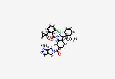 Cn1ncc2c1CN(C(=O)C1CCc3c([C@@]4(C(=O)O)CC=CCC4)nn(C(=O)c4c(Cl)cccc4C4(C(F)(F)F)CC4)c3C1)C2